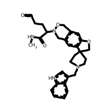 CNC(=O)C(CCC=O)N1Cc2cc3c(cc2CO1)OCC31CCN(Cc2c[nH]c3ccccc23)CC1